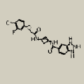 O=C(COc1ccc(Cl)c(F)c1)NC12CC(NC(=O)c3ccc4c(c3)NNN4)(C1)C2